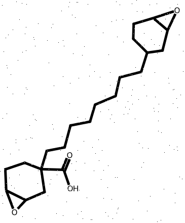 O=C(O)C1(CCCCCCCCC2CCC3OC3C2)CCC2OC2C1